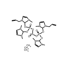 C.C.C.C=CCN1C=CN(C)C1OP(=O)(OC1N(C)C=CN1C)O[PH](=O)OP(=O)(OC1N(C)C=CN1C)OC1N(C)C=CN1CC=C